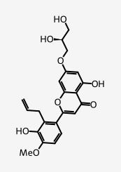 C=CCc1c(-c2cc(=O)c3c(O)cc(OC[C@@H](O)CO)cc3o2)ccc(OC)c1O